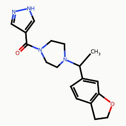 CC(c1ccc2c(c1)OCC2)N1CCN(C(=O)c2cn[nH]c2)CC1